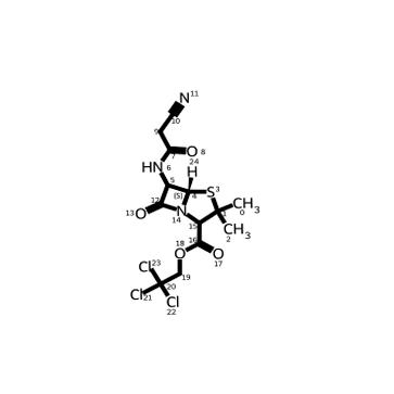 CC1(C)S[C@H]2C(NC(=O)CC#N)C(=O)N2C1C(=O)OCC(Cl)(Cl)Cl